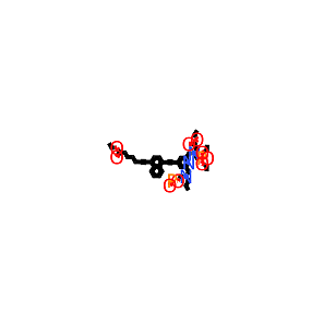 CCCN(COP=O)Cc1cc(C#Cc2ccc(C#CCCCCC(=O)OCC)c3ccccc23)cc(CN(CC(=O)OCC)CP(=O)(OCC)OCC)n1